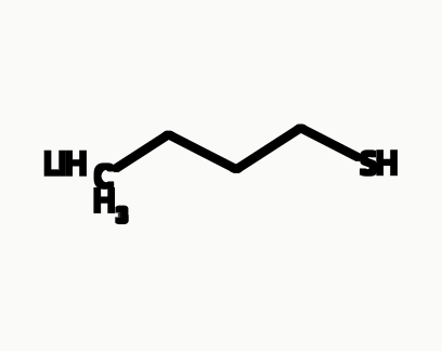 CCCCS.[LiH]